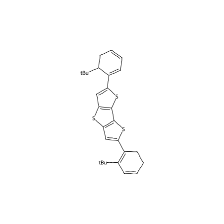 CC(C)(C)C1=C(c2cc3sc4cc(C5=CC=CCC5C(C)(C)C)sc4c3s2)CCC=C1